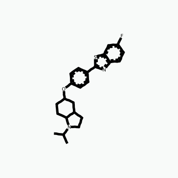 CC(C)N1CCC2CC(Oc3ccc(-c4nc5ccc(F)cc5s4)cc3)CCC21